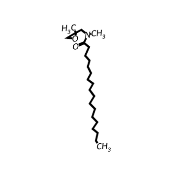 CCCCCCCCCCCCCCCCCC(=O)N(C)CC1(C)CO1